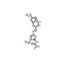 Cc1cc2cc(OCC3=CN(CC4(F)CC4)C(C)S3)ccc2o1